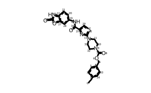 Cc1ccc(COC(=O)N2CCN(c3nc(C(=O)Nc4ccc5[nH]c(=O)oc5c4)cs3)CC2)cc1